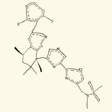 C[C@@H]1CC(C)(C)[C@@](C)(c2cncc(-c3nc(CN(C)S(C)(=O)=O)co3)n2)c2nnc(-c3c(F)cccc3F)cc21